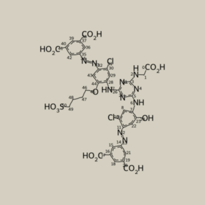 O=C(O)CNc1nc(Nc2cc(Cl)c(N=Nc3cc(C(=O)O)cc(C(=O)O)c3)cc2O)nc(Nc2cc(Cl)c(N=Nc3cc(C(=O)O)cc(C(=O)O)c3)cc2OCCCCS(=O)(=O)O)n1